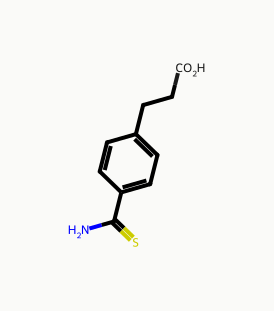 NC(=S)c1ccc(CCC(=O)O)cc1